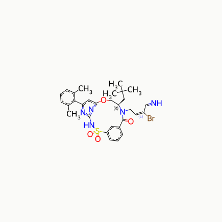 Cc1cccc(C)c1-c1cc2nc(n1)NS(=O)(=O)c1cccc(c1)C(=O)N(C/C=C(/Br)C=N)[C@H](CC(C)(C)C)CO2